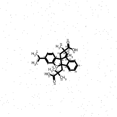 CC(C)c1ccc2c(c1)OC1(CC(C)(C)C(=O)O)c3ccccc3C(=O)C21CC(C)(C)C(=O)O